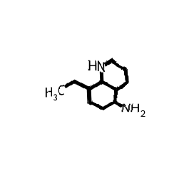 CCC1CCC(N)C2CCCNC12